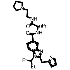 CCCC(NC(=O)c1ccc2c(c1)nc(Cc1cccs1)n2C(CC)CC)C(=O)NCCN1CCCC1